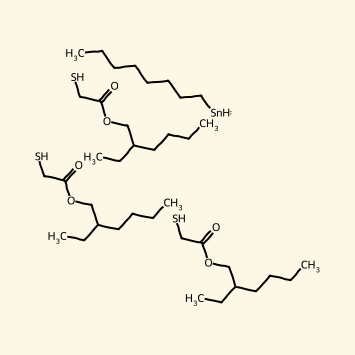 CCCCC(CC)COC(=O)CS.CCCCC(CC)COC(=O)CS.CCCCC(CC)COC(=O)CS.CCCCCCC[CH2][SnH]